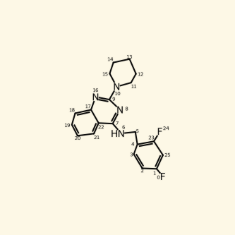 Fc1ccc(CNc2nc(N3CCCCC3)nc3ccccc23)c(F)c1